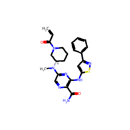 C=CC(=O)N1CCC[C@H](N(C)c2cnc(C(N)=O)c(Nc3cc(-c4ccccc4)ns3)n2)C1